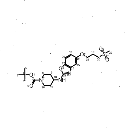 CC(C)(C)OC(=O)N1CCC(Nc2nc3cc(OCCCS(C)(=O)=O)ccc3o2)CC1